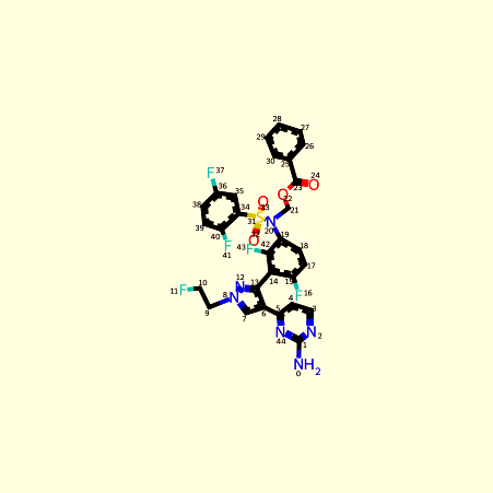 Nc1nccc(-c2cn(CCF)nc2-c2c(F)ccc(N(COC(=O)c3ccccc3)S(=O)(=O)c3cc(F)ccc3F)c2F)n1